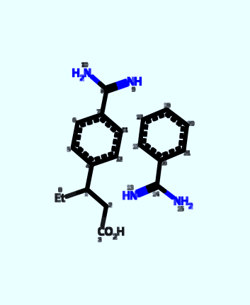 CCC(CC(=O)O)c1ccc(C(=N)N)cc1.N=C(N)c1ccccc1